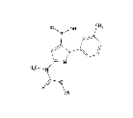 Cc1cccc(-n2nc(N(C)C(=O)OC(C)(C)C)cc2B(O)O)n1